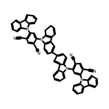 N#Cc1cc(C#N)c(-n2c3ccccc3c3ccccc32)cc1-n1c2c(c3cc(-c4ccc5c(c4)c4ccccc4n5-c4cc(-n5c6ccccc6c6ccccc65)c(C#N)cc4C#N)ccc31)C=CCC2